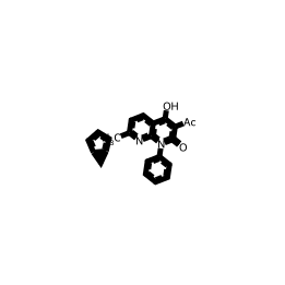 CC(=O)c1c(O)c2ccc(C)nc2n(-c2ccccc2)c1=O.c1cc2cc-2c1